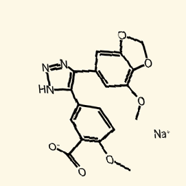 COc1ccc(-c2[nH]nnc2-c2cc(OC)c3c(c2)OCO3)cc1C(=O)[O-].[Na+]